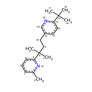 Cc1cccc(C(C)(C)CCc2ccc(C(C)(C)C)nc2)n1